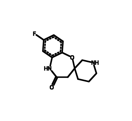 O=C1CC2(CCCNC2)Oc2ccc(F)cc2N1